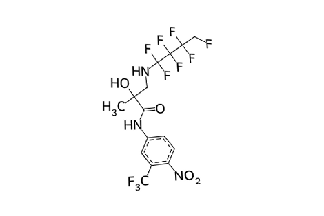 CC(O)(CNC(F)(F)C(F)(F)C(F)(F)CF)C(=O)Nc1ccc([N+](=O)[O-])c(C(F)(F)F)c1